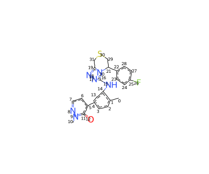 Cc1ccc(-c2ccnn(C)c2=O)cc1Nc1nnc2n1C(c1ccc(F)cc1)CSC2